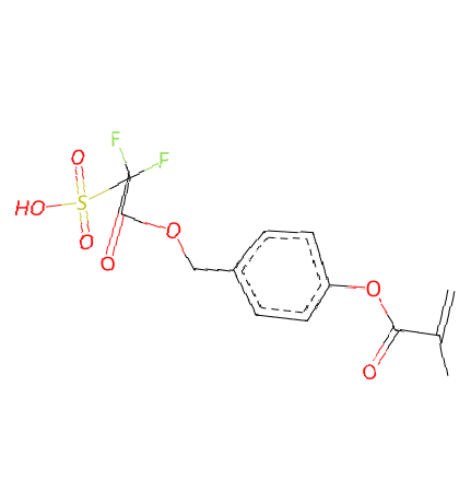 C=C(C)C(=O)Oc1ccc(COC(=O)C(F)(F)S(=O)(=O)O)cc1